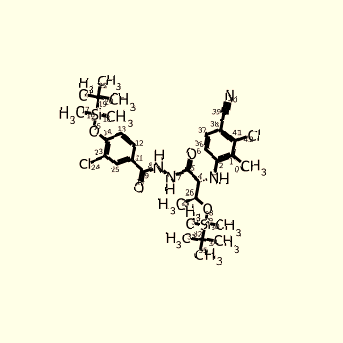 Cc1c(N[C@@H](C(=O)NNC(=O)c2ccc(O[Si](C)(C)C(C)(C)C)c(Cl)c2)[C@H](C)O[Si](C)(C)C(C)(C)C)ccc(C#N)c1Cl